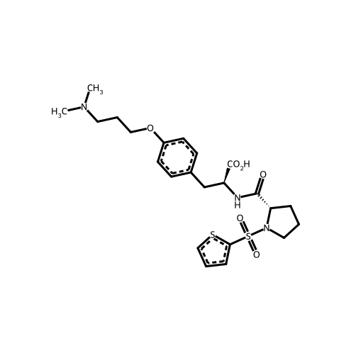 CN(C)CCCOc1ccc(C[C@H](NC(=O)[C@@H]2CCCN2S(=O)(=O)c2cccs2)C(=O)O)cc1